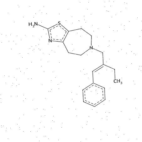 CCC(=Cc1ccccc1)CN1CCc2nc(N)sc2CC1